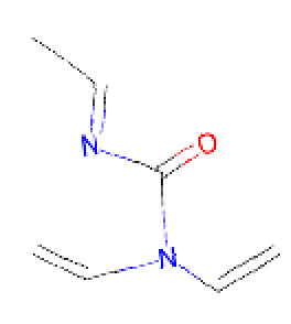 C=CN(C=C)C(=O)N=CC